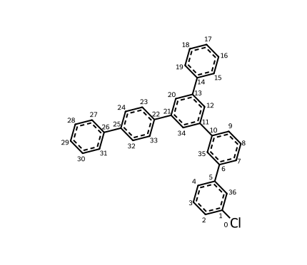 Clc1cccc(-c2cccc(-c3cc(-c4ccccc4)cc(-c4ccc(-c5ccccc5)cc4)c3)c2)c1